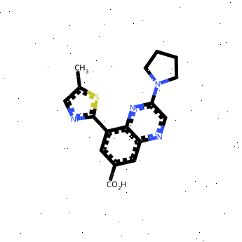 Cc1cnc(-c2cc(C(=O)O)cc3ncc(N4CCCC4)nc23)s1